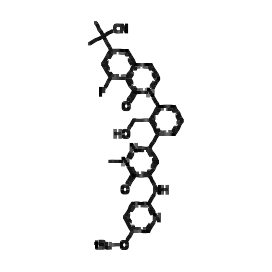 Cn1nc(-c2cccc(-n3ccc4cc(C(C)(C)C#N)cc(F)c4c3=O)c2CO)cc(Nc2ccc(OC(C)(C)C)cn2)c1=O